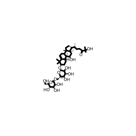 C[C@H](CCC(=O)C(C)(C)O)[C@H]1CC[C@@]2(C)C3CC=C4[C@@H](CC[C@H](OC5O[C@H](CO[C@@H]6O[C@H](CO)[C@@H](O)[C@H](O)[C@H]6O)[C@@H](O)[C@H](O)C5O)C4(C)C)[C@]3(C)[C@H](O)C[C@]12C